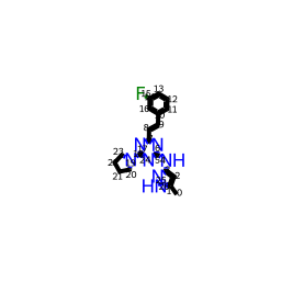 Cc1cc(Nc2nc(/C=C/c3cccc(F)c3)nc(N3CCCC3)n2)n[nH]1